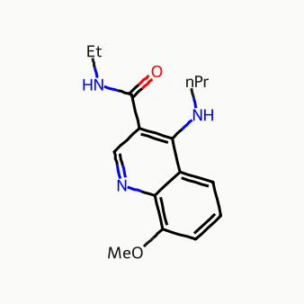 CCCNc1c(C(=O)NCC)cnc2c(OC)cccc12